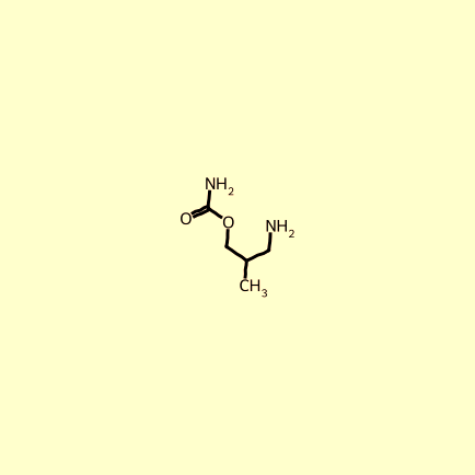 CC(CN)COC(N)=O